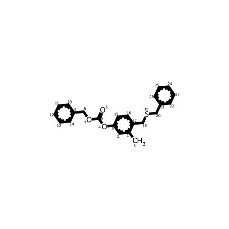 Cc1cc(OC(=O)OCc2ccccc2)ccc1CSCc1ccccc1